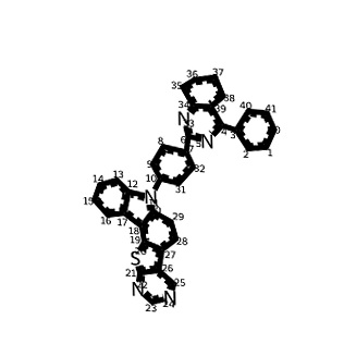 c1ccc(-c2nc(-c3ccc(-n4c5ccccc5c5c6sc7ncncc7c6ccc54)cc3)nc3ccccc23)cc1